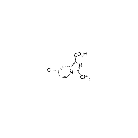 Cc1nc(C(=O)O)c2cc(Cl)ccn12